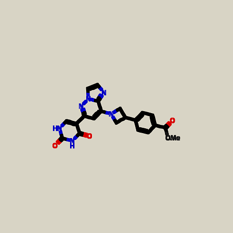 COC(=O)c1ccc(C2CN(c3cc(-c4c[nH]c(=O)[nH]c4=O)nn4ccnc34)C2)cc1